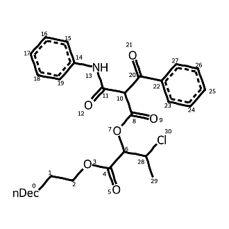 CCCCCCCCCCCCOC(=O)C(OC(=O)C(C(=O)Nc1ccccc1)C(=O)c1ccccc1)C(C)Cl